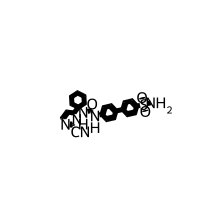 N#Cc1nccc(C2(NC(=O)Nc3ccc(-c4ccc(S(N)(=O)=O)cc4)cc3)CCCCC2)n1